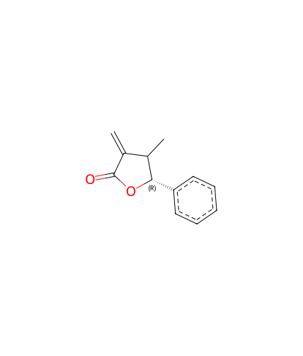 C=C1C(=O)O[C@@H](c2ccccc2)C1C